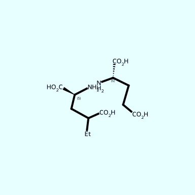 CCC(C[C@H](N)C(=O)O)C(=O)O.N[C@@H](CCC(=O)O)C(=O)O